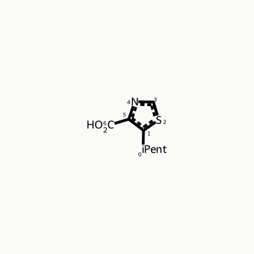 CCCC(C)c1scnc1C(=O)O